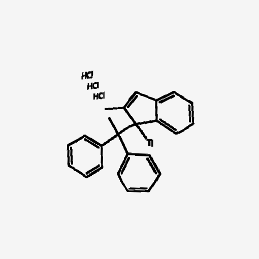 CC1=Cc2ccccc2[C]1([Ti])C(C)(c1ccccc1)c1ccccc1.Cl.Cl.Cl